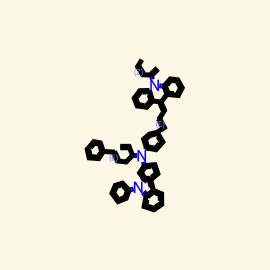 C=CC(C/C=C/c1ccccc1)N(c1ccc(/C=C/C=C2c3ccccc3N(C(=C)/C=C\C)c3ccccc32)cc1)c1ccc2c3ccccc3n(-c3ccccc3)c2c1